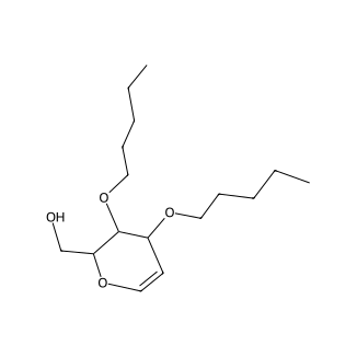 CCCCCOC1C=COC(CO)C1OCCCCC